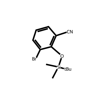 CC(C)(C)[Si](C)(C)Oc1c(Br)cccc1C#N